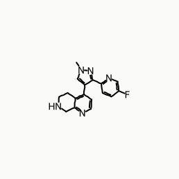 Cn1cc(-c2ccnc3c2CCNC3)c(-c2ccc(F)cn2)n1